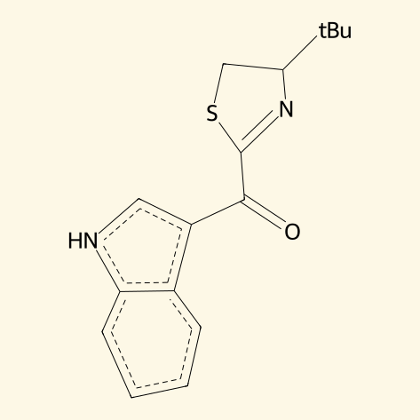 CC(C)(C)C1CSC(C(=O)c2c[nH]c3ccccc23)=N1